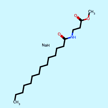 CCCCCCCCCCCCCC(=O)NCCC(=O)OC.[NaH]